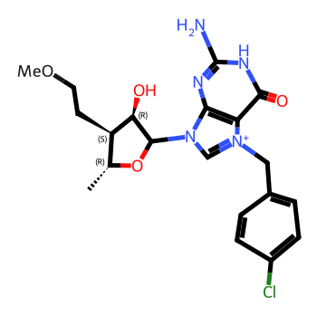 COCC[C@@H]1[C@@H](C)OC(n2c[n+](Cc3ccc(Cl)cc3)c3c(=O)[nH]c(N)nc32)[C@@H]1O